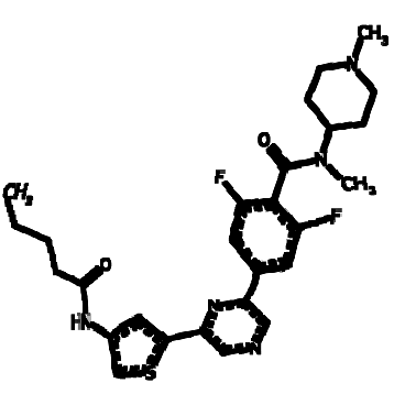 CCCCC(=O)Nc1csc(-c2cncc(-c3cc(F)c(C(=O)N(C)C4CCN(C)CC4)c(F)c3)n2)c1